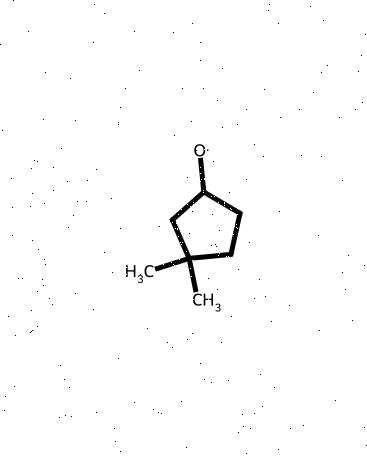 CC1(C)CCC([O])C1